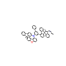 C=C/C=C\C1=C(C)C2(c3ccccc31)c1ccccc1-c1c(-c3cc(-c4ccccc4)cc(N(c4ccc5c(c4)C(C)(C)c4ccccc4-5)c4cccc5oc6ccccc6c45)c3)cccc12